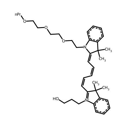 CCCOCCOCCOCCN1/C(=C/C=C\C=C/C2=[N+](CCCO)c3ccccc3C2(C)C)C(C)(C)c2ccccc21